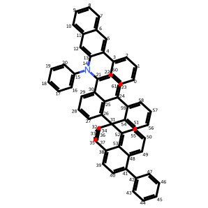 c1ccc(-c2cc3ccccc3cc2N(c2ccccc2)c2ccc3c4c(cccc24)C2(c4ccccc4-c4ccc(-c5ccccc5)c5cccc2c45)c2ccccc2-3)cc1